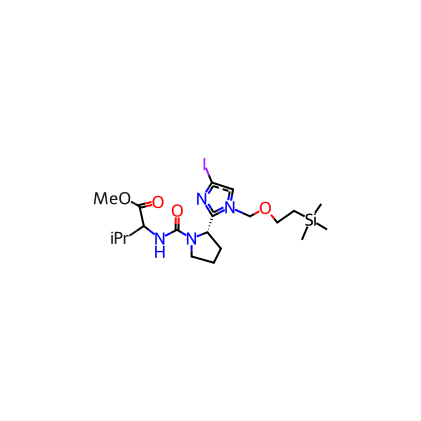 COC(=O)C(NC(=O)N1CCC[C@H]1c1nc(I)cn1COCC[Si](C)(C)C)C(C)C